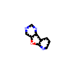 c1cnc2oc3cncnc3c2c1